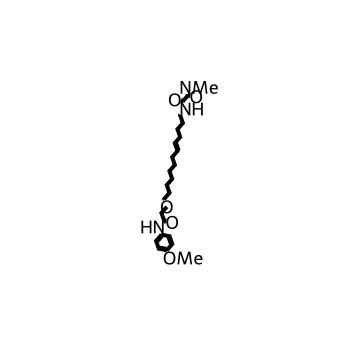 CNC(=O)C(=O)NCCCCC=CCCCCCCCOCC(=O)Nc1ccc(OC)cc1